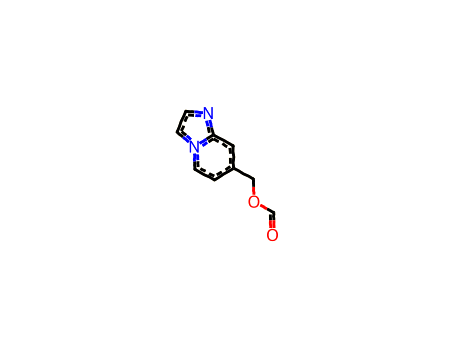 O=COCc1ccn2ccnc2c1